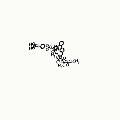 CCCCc1nc(Cl)c(C(=O)OC(C)OC(=O)OCC)n1Cc1ccc(-c2ccccc2-c2nnn(COC(=O)Oc3ccc(CON(O)O)cc3)n2)cc1